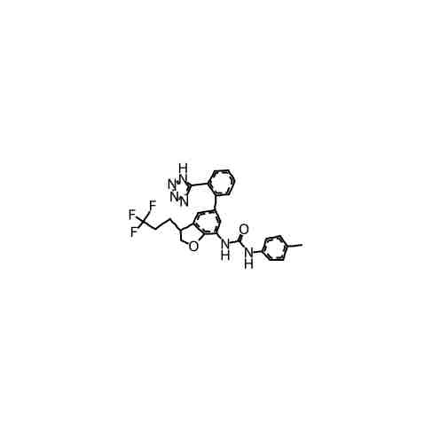 Cc1ccc(NC(=O)Nc2cc(-c3ccccc3-c3nnn[nH]3)cc3c2OCC3CCC(F)(F)F)cc1